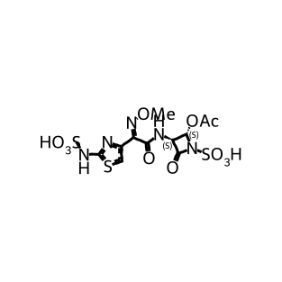 CON=C(C(=O)N[C@@H]1C(=O)N(S(=O)(=O)O)[C@H]1OC(C)=O)c1csc(NS(=O)(=O)O)n1